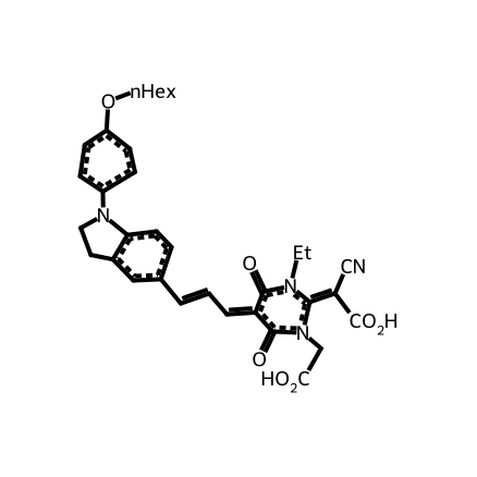 CCCCCCOc1ccc(N2CCc3cc(/C=C/C=c4\c(=O)n(CC)/c(=C(\C#N)C(=O)O)n(CC(=O)O)c4=O)ccc32)cc1